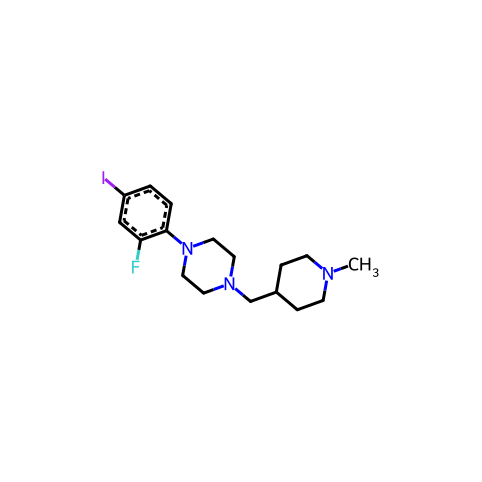 CN1CCC(CN2CCN(c3ccc(I)cc3F)CC2)CC1